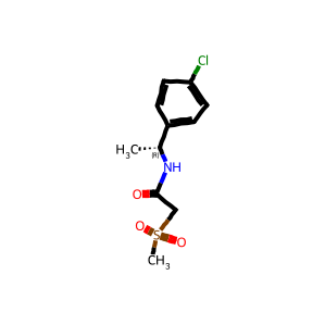 C[C@@H](NC(=O)CS(C)(=O)=O)c1ccc(Cl)cc1